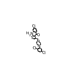 Nc1scc(CN2CCN(c3cc(Cl)ccc3Cl)CC2)c1C(=O)c1ccc(Cl)cc1